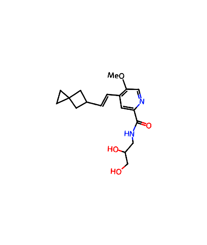 COc1cnc(C(=O)NCC(O)CO)cc1C=CC1CC2(CC2)C1